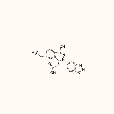 CCc1ccc2c(c1)C(CC(=O)O)N(c1ccc3snnc3c1)N=C2O